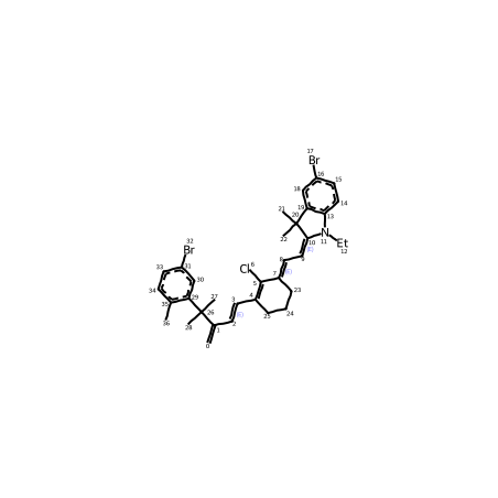 C=C(/C=C/C1=C(Cl)C(=C/C=C2/N(CC)c3ccc(Br)cc3C2(C)C)/CCC1)C(C)(C)c1cc(Br)ccc1C